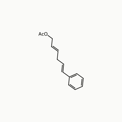 CC(=O)OCC=CCC=Cc1ccccc1